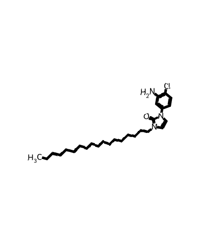 CCCCCCCCCCCCCCCCCCn1ccn(-c2ccc(Cl)c(N)c2)c1=O